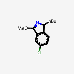 CCCCC1N=C(OC)c2cc(Cl)ccc21